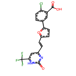 O=C(O)c1cc(-c2ccc(/C=C/c3cc(C(F)(F)F)[nH]c(=O)n3)o2)ccc1Cl